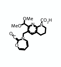 COC(OC)c1nc2c(cc1CN1C=CC=COC1=C=O)CCCN2C(=O)O